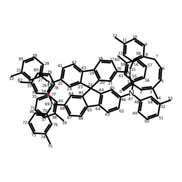 C=C1/C=C(C)\C=C/Cc2ccc(C)cc2N1c1ccc2c(c1)C1(c3cc(N(c4cccc(C)c4)c4cccc(C)c4)ccc3-2)c2cc(N(c3cccc(C)c3)c3cccc(C)c3)ccc2-c2ccc(N(c3cccc(C)c3)c3cccc(C)c3)cc21